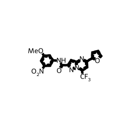 COc1cc(NC(=O)c2cc3nc(-c4ccco4)cc(C(F)(F)F)n3n2)cc([N+](=O)[O-])c1